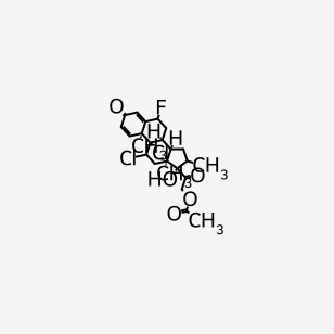 CC(=O)OCC(=O)[C@@]1(O)C(C)C[C@H]2[C@@H]3CC(F)C4=CC(=O)C=C[C@]4(C)[C@@]3(Cl)C(Cl)C[C@@]21C